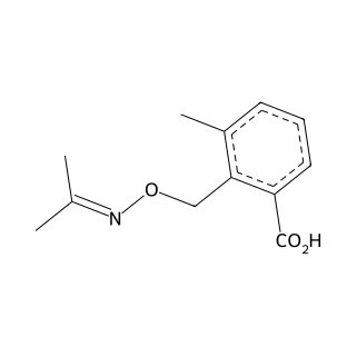 CC(C)=NOCc1c(C)cccc1C(=O)O